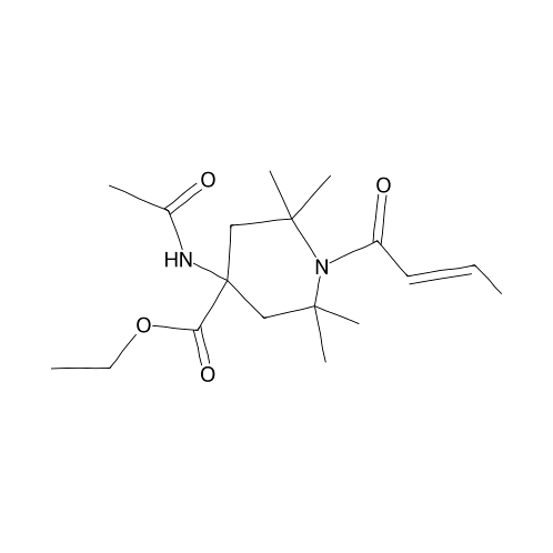 CC=CC(=O)N1C(C)(C)CC(NC(C)=O)(C(=O)OCC)CC1(C)C